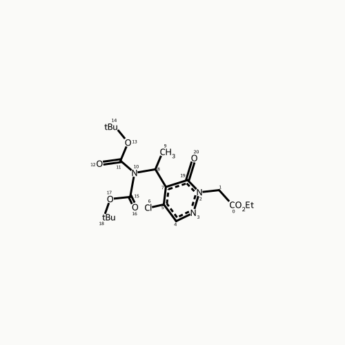 CCOC(=O)Cn1ncc(Cl)c(C(C)N(C(=O)OC(C)(C)C)C(=O)OC(C)(C)C)c1=O